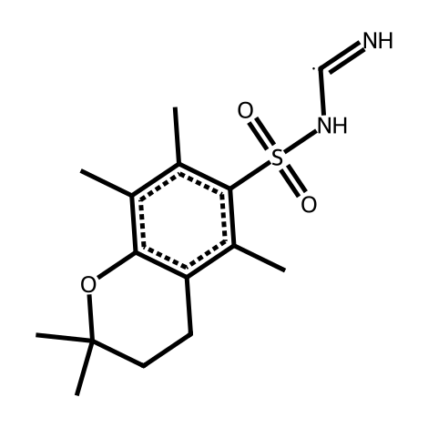 Cc1c(C)c(S(=O)(=O)N[C]=N)c(C)c2c1OC(C)(C)CC2